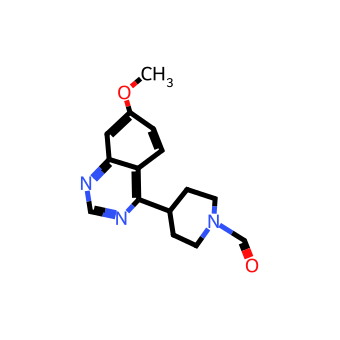 COc1ccc2c(C3CCN(C=O)CC3)ncnc2c1